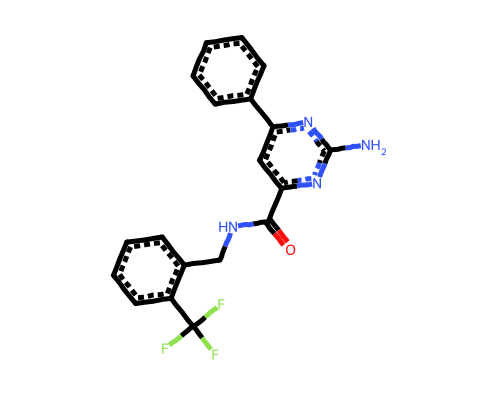 Nc1nc(C(=O)NCc2ccccc2C(F)(F)F)cc(-c2ccccc2)n1